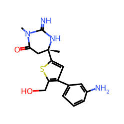 CN1C(=N)N[C@](C)(c2cc(-c3cccc(N)c3)c(CO)s2)CC1=O